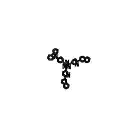 c1ccc2cc(-c3ccc(-c4nc(-c5ccc(-n6c7ccccc7c7ccccc76)cc5)nc(-c5ccc(-c6ccc7ccccc7c6)nc5)n4)cn3)ccc2c1